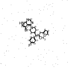 CN(Cc1ccco1)C(c1ccc(F)cc1)C1CCN(c2ncnc3[nH]nc(Br)c23)CC1